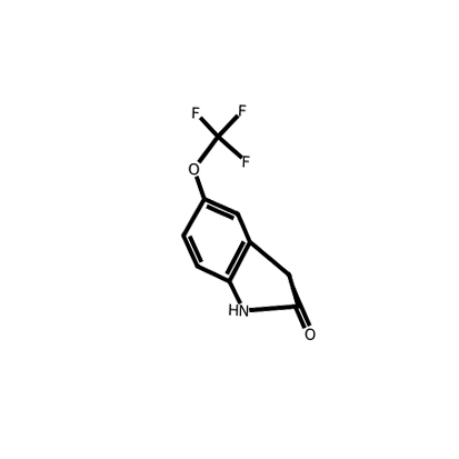 O=C1Cc2cc(OC(F)(F)F)ccc2N1